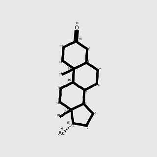 CC(=O)[C@H]1CCC2C3CCC4CC(=O)CCC4(C)C3CCC21C